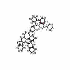 c1ccc(-c2ccc(N(c3ccc(C4CCc5cc6oc7ccccc7c6c(-c6ccc7ccccc7c6)c5-c5ccccc54)cc3)c3ccccc3-c3ccccc3)cc2)cc1